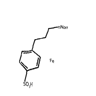 CCCCCCCCCCCCc1ccc(S(=O)(=O)O)cc1.[Fe]